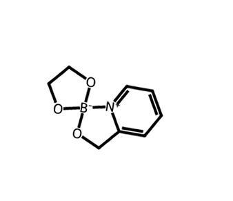 c1cc[n+]2c(c1)CO[B-]21OCCO1